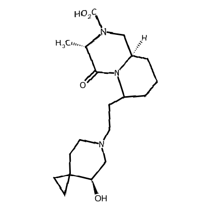 C[C@H]1C(=O)N2C(CCN3CCC4(CC4)[C@H](O)C3)CCC[C@@H]2CN1C(=O)O